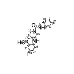 O=C(NCc1ccc(F)cc1)N1CCC2(CC1)C[C@H](O)c1cc(F)ccc1N2